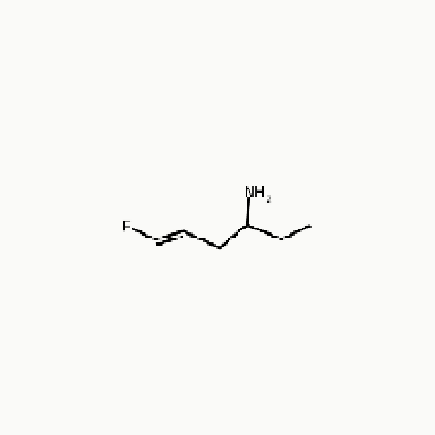 CCC(N)CC=CF